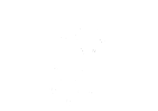 O=C(O)C(CCn1nnc2ccccc2c1=O)C(=O)O